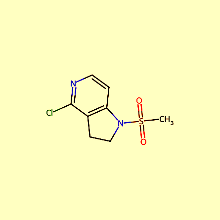 CS(=O)(=O)N1CCc2c1ccnc2Cl